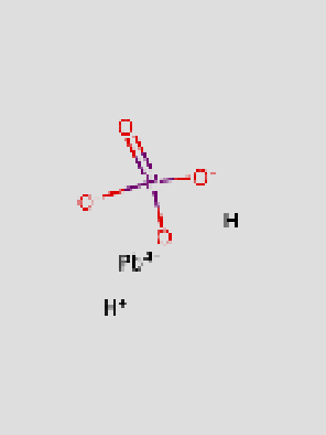 O=P([O-])([O-])[O-].[H+].[H+].[Pb+4]